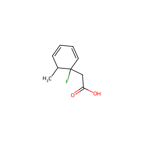 CC1C=CC=CC1(F)CC(=O)O